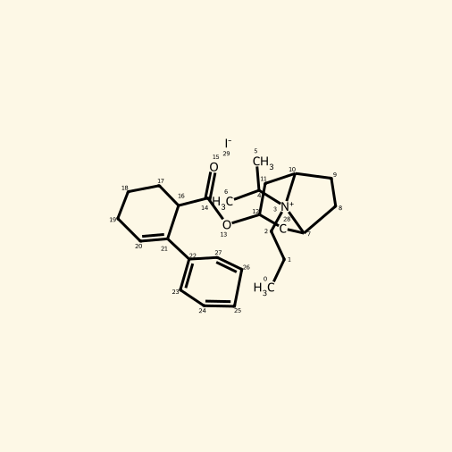 CCC[N+]1(C(C)C)C2CCC1CC(OC(=O)C1CCCC=C1c1ccccc1)C2.[I-]